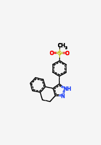 CS(=O)(=O)c1ccc(-c2[nH]nc3c2-c2ccccc2CC3)cc1